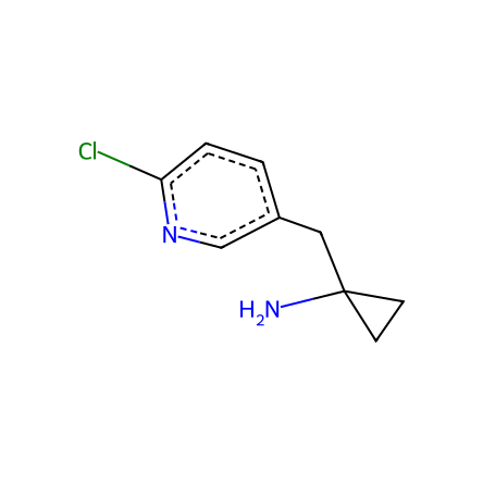 NC1(Cc2ccc(Cl)nc2)CC1